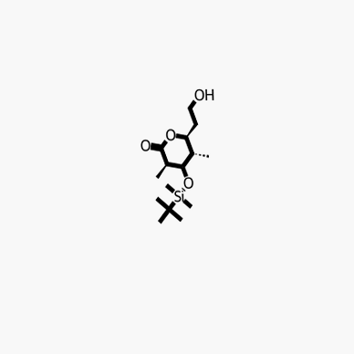 C[C@@H]1C(O[Si](C)(C)C(C)(C)C)[C@@H](C)C(=O)O[C@H]1CCO